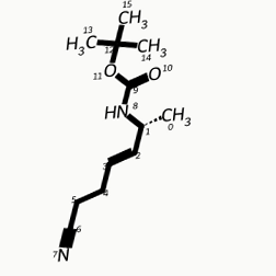 C[C@H](/C=C/CCC#N)NC(=O)OC(C)(C)C